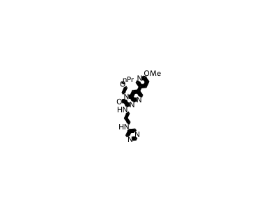 CCCOCCn1c(=O)c(NCCCNc2cncnc2)nc2ncc(-c3ccc(OC)nc3)cc21